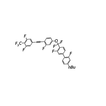 CCCCc1ccc(-c2ccc(C(F)(F)Oc3ccc(C#Cc4cc(F)c(C(F)(F)F)c(F)c4)c(F)c3)c(F)c2)c(F)c1